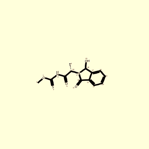 COC(=S)NC(=O)[C@H](C)N1C(=O)c2ccccc2C1O